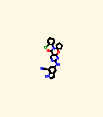 N#Cc1cc(Nc2ncc3c(n2)OC2(CCCC2)N(c2ccccc2Cl)C3=O)cc2cc[nH]c12